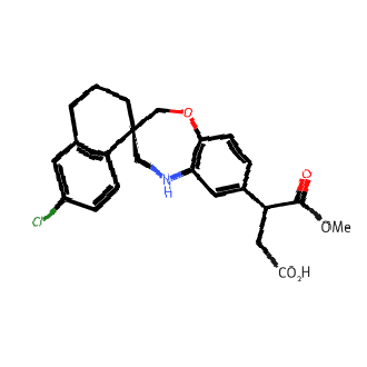 COC(=O)C(CC(=O)O)c1ccc2c(c1)NC[C@@]1(CCCc3cc(Cl)ccc31)CO2